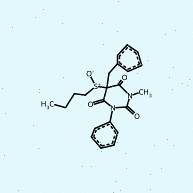 CCCC[S+]([O-])C1(Cc2ccccc2)C(=O)N(C)C(=O)N(c2ccccc2)C1=O